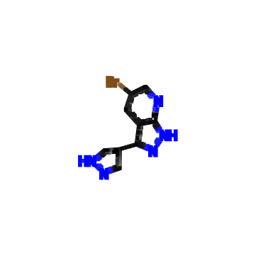 Brc1cnc2[nH]nc(-c3cn[nH]c3)c2c1